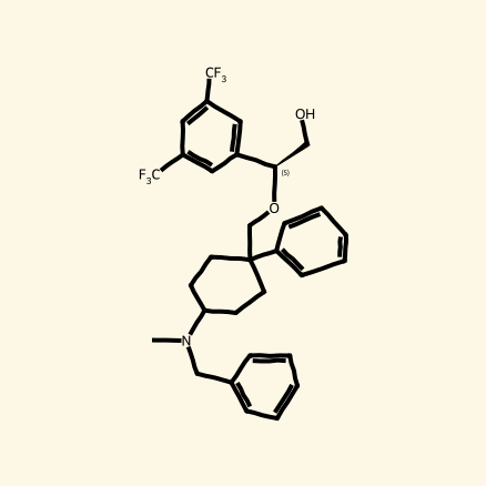 CN(Cc1ccccc1)C1CCC(CO[C@H](CO)c2cc(C(F)(F)F)cc(C(F)(F)F)c2)(c2ccccc2)CC1